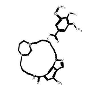 COc1cc(C(=O)O[C@@H]2CCCn3ncc4c(C)cc(cc43)C(=O)NCCCN3CCCN(CC2)CC3)cc(OC)c1OC